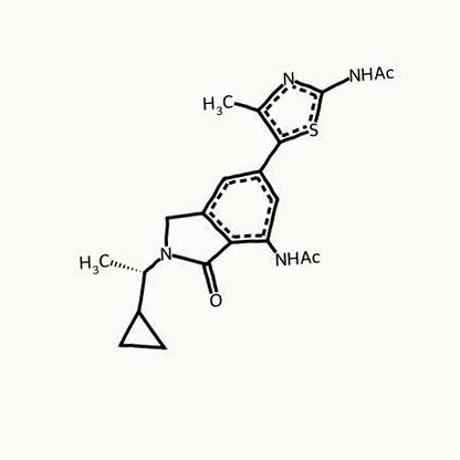 CC(=O)Nc1nc(C)c(-c2cc3c(c(NC(C)=O)c2)C(=O)N([C@@H](C)C2CC2)C3)s1